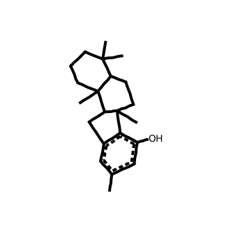 Cc1cc(O)c2c(c1)CC1C2(C)CCC2C(C)(C)CCCC21C